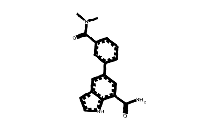 CN(C)C(=O)c1cccc(-c2cc(C(N)=O)c3[nH]ccc3c2)c1